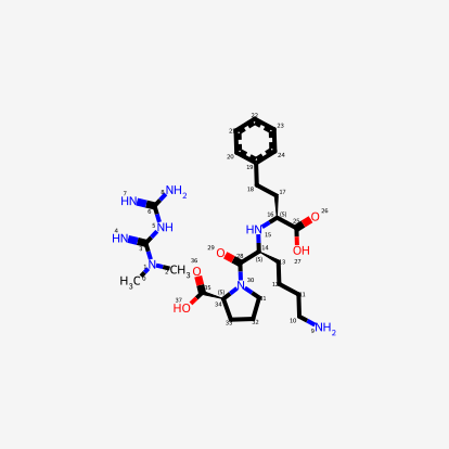 CN(C)C(=N)NC(=N)N.NCCCC[C@H](N[C@@H](CCc1ccccc1)C(=O)O)C(=O)N1CCC[C@H]1C(=O)O